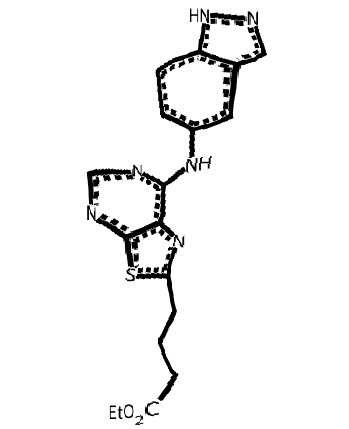 CCOC(=O)CCCc1nc2c(Nc3ccc4[nH]ncc4c3)ncnc2s1